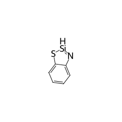 c1ccc2s[siH]nc2c1